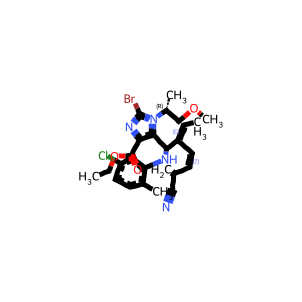 C=C(C#N)/C=C\C(=C/C)C(Nc1cc(Cl)ccc1C)c1c(C(=O)OCC)nc(Br)n1[C@H](C)COC